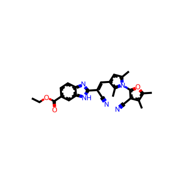 CCOC(=O)c1ccc2nc(/C(C#N)=C/c3cc(C)n(-c4oc(C)c(C)c4C#N)c3C)[nH]c2c1